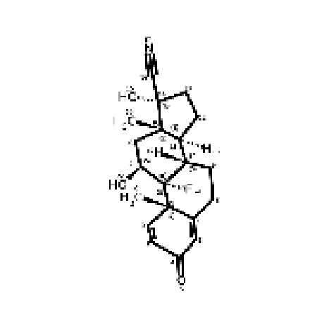 C[C@]12C=CC(=O)C=C1CC[C@H]1[C@@H]3CC[C@](O)(C#N)[C@@]3(C)C[C@H](O)[C@@]12F